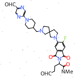 CNC(=O)C(CCC=O)N1C(=O)c2cc(F)c(N3CCC4(CCN(CC5CCN(c6cnc(C=O)cn6)CC5)C4)C3)cc2C1=O